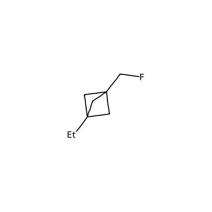 CCC12CC(CF)(C1)C2